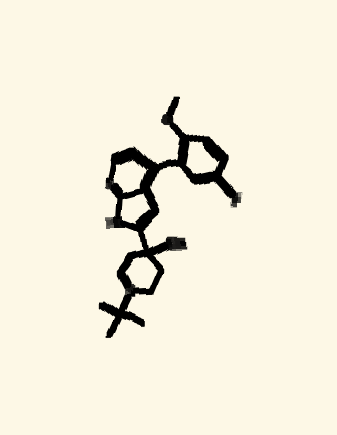 COc1ccc(F)cc1-c1ccnc2[nH]c(C3(O)CCN(C(C)(C)C)CC3)cc12